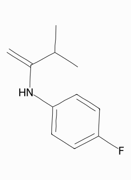 C=C(Nc1ccc(F)cc1)C(C)C